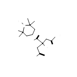 CC1(C)CCCC(C)(C)N1O.O=C(O)CC(O)(CC(=O)O)C(=O)O